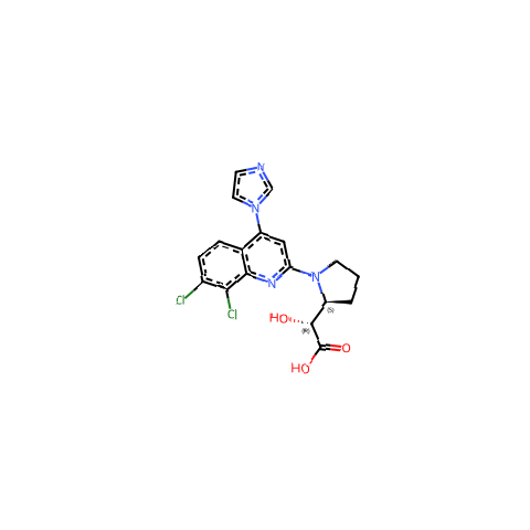 O=C(O)[C@H](O)[C@@H]1CCCN1c1cc(-n2ccnc2)c2ccc(Cl)c(Cl)c2n1